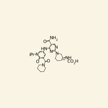 CC(C)n1cc(Nc2nc(N3CCC[C@H](NC(=O)O)C3)ncc2C(N)=O)cc(C(=O)N2CCCCC2)c1=O